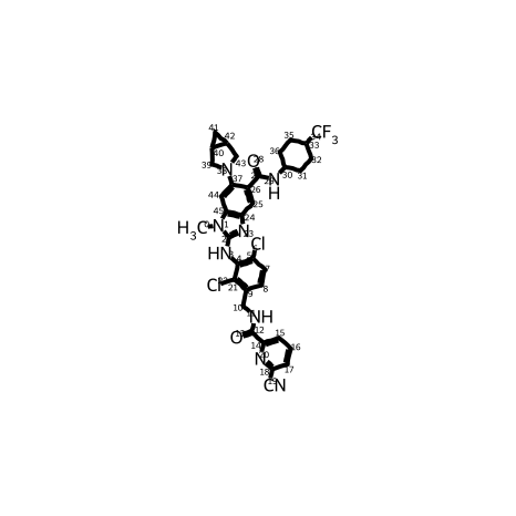 Cn1c(Nc2c(Cl)ccc(CNC(=O)c3cccc(C#N)n3)c2Cl)nc2cc(C(=O)NC3CCC(C(F)(F)F)CC3)c(N3CC4CC4C3)cc21